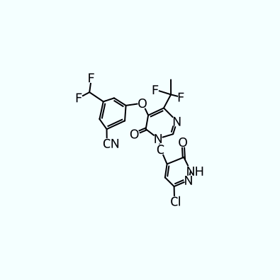 CC(F)(F)c1ncn(Cc2cc(Cl)n[nH]c2=O)c(=O)c1Oc1cc(C#N)cc(C(F)F)c1